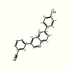 N#Cc1cccc(-c2cnc3cnc(-c4ccc(O)cc4)nc3c2)c1